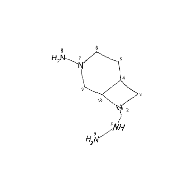 NNN1CC2CCN(N)CC21